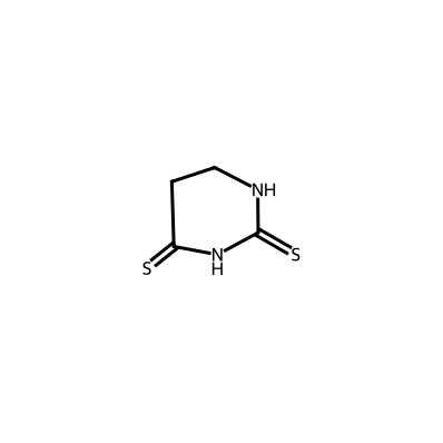 S=C1CCNC(=S)N1